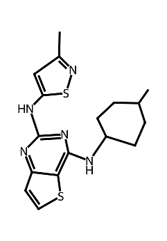 Cc1cc(Nc2nc(NC3CCC(C)CC3)c3sccc3n2)sn1